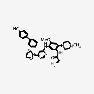 C=CC(=O)Nc1cc(Nc2cc(N3OCC[C@@H]3c3cccc(-c4ccc(C#N)cc4)c3)ncn2)c(OC)cc1N1CCN(C)CC1